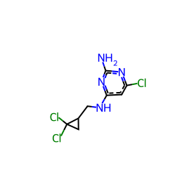 Nc1nc(Cl)cc(NCC2CC2(Cl)Cl)n1